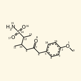 COc1ccc(CC(=O)CC(C)C(C)S(N)(=O)=O)cc1